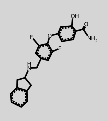 NC(=O)c1ccc(Oc2c(F)cc(CNC3Cc4ccccc4C3)cc2F)cc1O